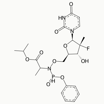 CC(C)OC(=O)C(C)N(OC[C@H]1O[C@@H](n2ccc(=O)[nH]c2=O)[C@](C)(F)[C@@H]1O)[PH](=O)Oc1ccccc1